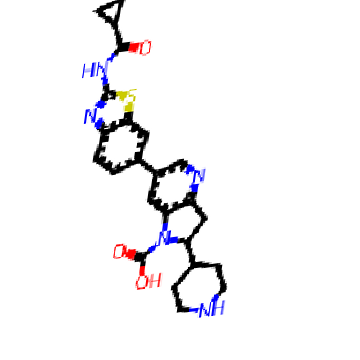 O=C(Nc1nc2ccc(-c3cnc4c(c3)N(C(=O)O)C(C3CCNCC3)C4)cc2s1)C1CC1